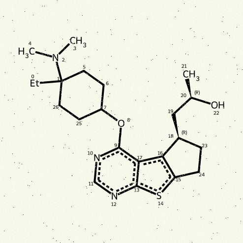 CCC1(N(C)C)CCC(Oc2ncnc3sc4c(c23)[C@@H](C[C@@H](C)O)CC4)CC1